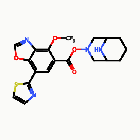 O=C(ON1CC2CCCC(C1)N2)c1cc(-c2nccs2)c2ocnc2c1OC(F)(F)F